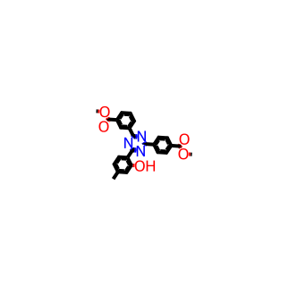 COC(=O)c1ccc(-c2nc(-c3cccc(C(=O)OC)c3)nc(-c3ccc(C)cc3O)n2)cc1